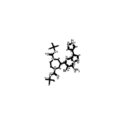 CC(C)(C)OC(=O)N1CCN(C(=O)OC(C)(C)C)CC(c2nc3c(-c4cn[nH]c4)cnn3c(N)c2Br)C1